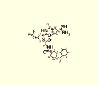 CC1c2ccccc2-c2cc(C(=O)NCC(=O)N3C[C@H](OC(F)F)C[C@H]3C(=O)N[C@H](C)c3cc(C(=N)N)cs3)ccc21